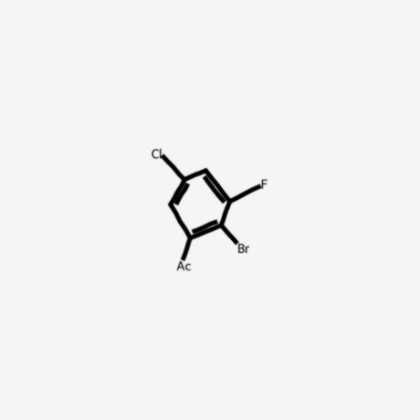 CC(=O)c1cc(Cl)cc(F)c1Br